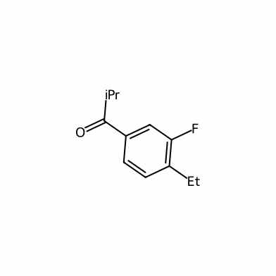 CCc1ccc(C(=O)C(C)C)cc1F